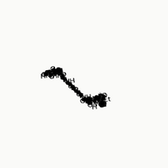 CC[C@@H]1C(=O)N(C)c2cnc(Nc3ccc(C(=O)NCCOCCOCCOCCNCCCC(=O)Nc4cccc5c4CN(C4CCC(=O)NC4=O)C5=O)cc3OC)nc2N1C1CCCC1